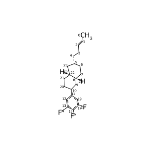 CC=CCC[C@@H]1CC[C@@H]2CC(c3cc(F)c(F)c(F)c3)CC[C@@H]2C1